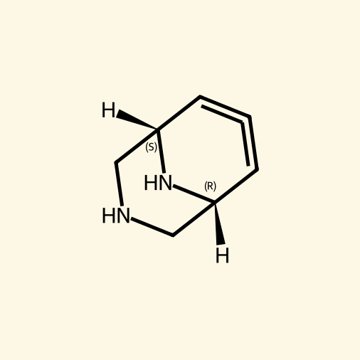 C1=C[C@@H]2CNC[C@H](C=1)N2